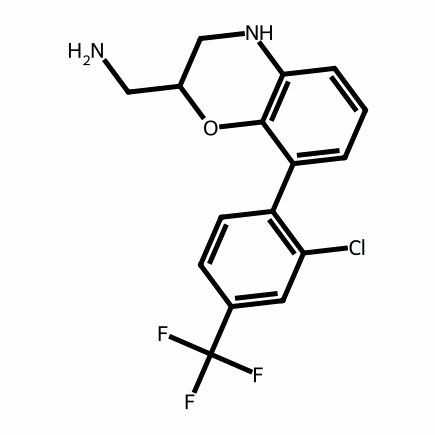 NCC1CNc2cccc(-c3ccc(C(F)(F)F)cc3Cl)c2O1